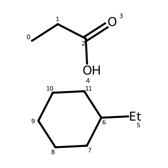 CCC(=O)O.CCC1CCCCC1